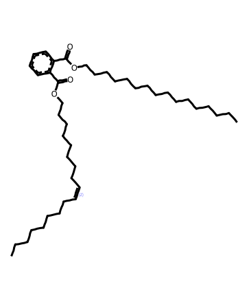 CCCCCCCC/C=C\CCCCCCCCOC(=O)c1ccccc1C(=O)OCCCCCCCCCCCCCCCC